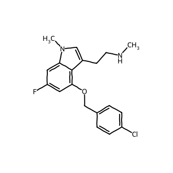 CNCCc1cn(C)c2cc(F)cc(OCc3ccc(Cl)cc3)c12